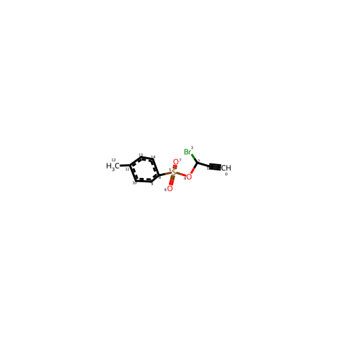 C#CC(Br)OS(=O)(=O)c1ccc(C)cc1